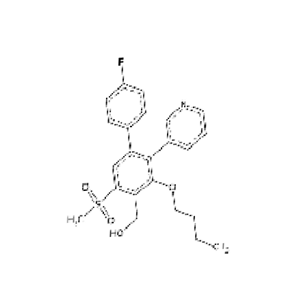 CCCCOc1c(CO)c(S(C)(=O)=O)cc(-c2ccc(F)cc2)c1-c1cccnc1